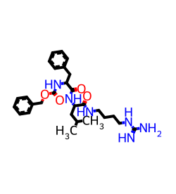 CC(C)CC(NC(=O)C(Cc1ccccc1)NC(=O)OCc1ccccc1)C(=O)NCCCCNC(=N)N